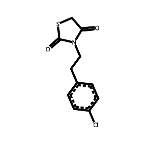 O=C1CSC(=O)N1CCc1ccc(Cl)cc1